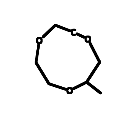 CC1COCCOCCO1